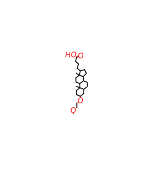 COCCOC1CCC2(C)C(CCC3C4CCC(CCCC(=O)O)C4(C)CCC32)C1